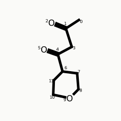 CC(=O)CC(=O)C1CCOCC1